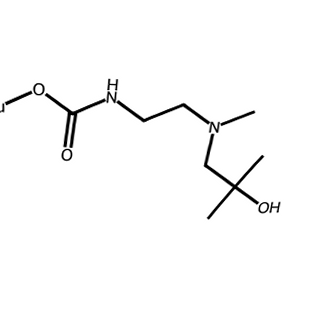 CN(CCNC(=O)OC(C)(C)C)CC(C)(C)O